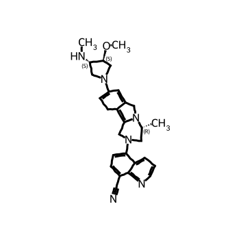 CN[C@H]1CN(C2=CCC3=C4CN(c5ccc(C#N)c6ncccc56)C[C@@H](C)N4CC3=C2)C[C@@H]1OC